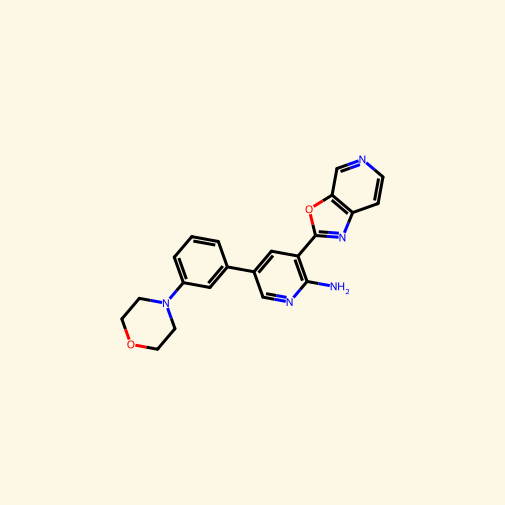 Nc1ncc(-c2cccc(N3CCOCC3)c2)cc1-c1nc2ccncc2o1